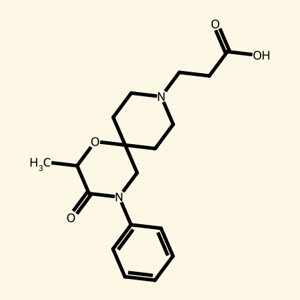 CC1OC2(CCN(CCC(=O)O)CC2)CN(c2ccccc2)C1=O